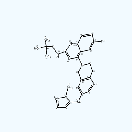 Cn1nccc1Nc1cnc2c(c1)CN(c1nc(NCC(C)(C)O)nc3ccc(F)cc13)CC2